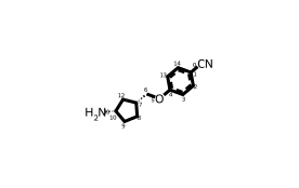 N#Cc1ccc(OC[C@@H]2CC[C@H](N)C2)cc1